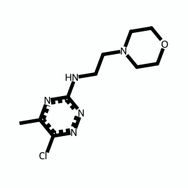 Cc1nc(NCCN2CCOCC2)nnc1Cl